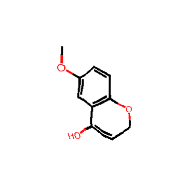 COc1ccc2c(c1)C(O)=CCO2